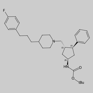 CC(C)(C)OC(=O)N[C@H]1C[C@H](CN2CCC(CCCc3ccc(F)cc3)CC2)[C@@H](c2ccccc2)C1